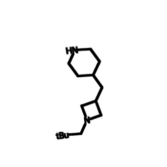 CC(C)(C)CN1CC(CC2CCNCC2)C1